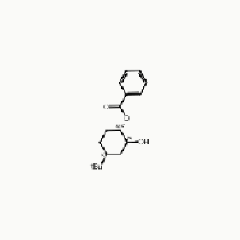 CC(C)(C)[C@H]1CC[C@H](OC(=O)c2ccccc2)[C@@H](O)C1